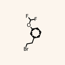 FC(F)Oc1cccc(CCBr)c1